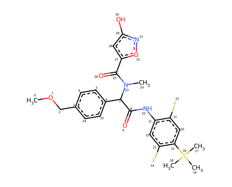 COCc1ccc(C(C(=O)Nc2cc(F)c(S(C)(C)C)cc2F)N(C)C(=O)c2cc(O)no2)cc1